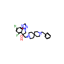 OC(CN1CCC2(CCN(Cc3ccccc3)CC2)CC1)(Cn1cncn1)c1ccc(F)cc1F